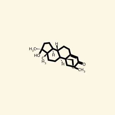 COC[C@]12CCC(=O)C=C1CC[C@@H]1[C@@H]2CC[C@@]2(C)[C@H]1CC[C@]2(C)O